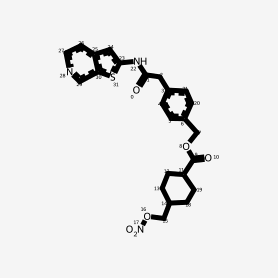 O=C(Cc1ccc(COC(=O)C2CCC(CO[N+](=O)[O-])CC2)cc1)Nc1cc2ccncc2s1